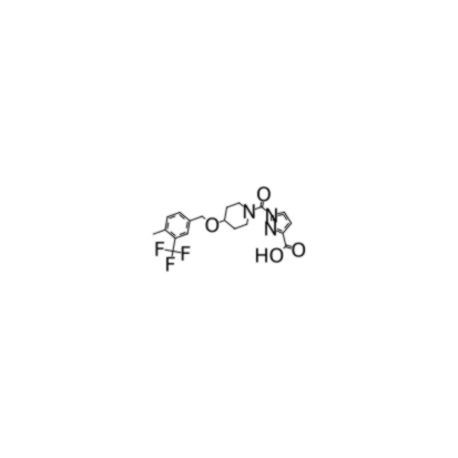 Cc1ccc(COC2CCN(C(=O)n3ccc(C(=O)O)n3)CC2)cc1C(F)(F)F